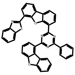 c1ccc(-c2nc(-c3cccc4c3oc3c(-c5nc6ccccc6s5)cccc34)nc(-c3cccc4oc5ccccc5c34)n2)cc1